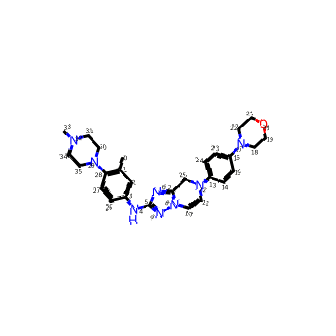 Cc1cc(Nc2nc3n(n2)C=CN(c2ccc(N4CCOCC4)cc2)C3)ccc1N1CCN(C)CC1